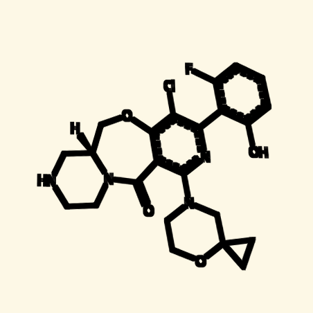 O=C1c2c(N3CCOC4(CC4)C3)nc(-c3c(O)cccc3F)c(Cl)c2OC[C@H]2CNCCN12